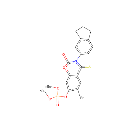 CCCCOP(=O)(OCCCC)Oc1cc2oc(=O)n(-c3ccc4c(c3)CCC4)c(=S)c2cc1C(C)C